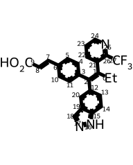 CC/C(=C(/c1ccc(/C=C/C(=O)O)cc1)c1ccc2[nH]ncc2c1)c1cccnc1C(F)(F)F